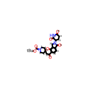 CC(C)(C)OC(=O)N1CCC2(CC1)CC(=O)c1ccc3c(c1O2)CN(C1CCC(=O)NC1=O)C3=O